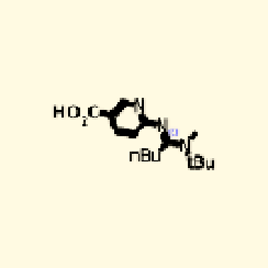 CCCC/C(=N\c1ccc(C(=O)O)cn1)N(C)C(C)(C)C